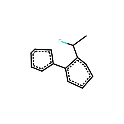 CC(F)c1ccccc1-c1ccccc1